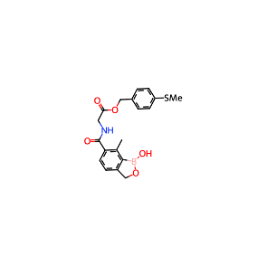 CSc1ccc(COC(=O)CNC(=O)c2ccc3c(c2C)B(O)OC3)cc1